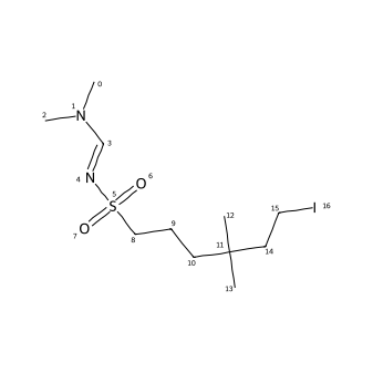 CN(C)C=NS(=O)(=O)CCCC(C)(C)CCI